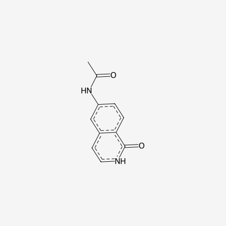 CC(=O)Nc1ccc2c(=O)[nH]ccc2c1